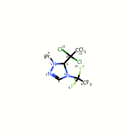 CC(C)N1N=CN(C(F)(F)C(F)(F)F)C1C(Cl)(Cl)C(Cl)(Cl)Cl